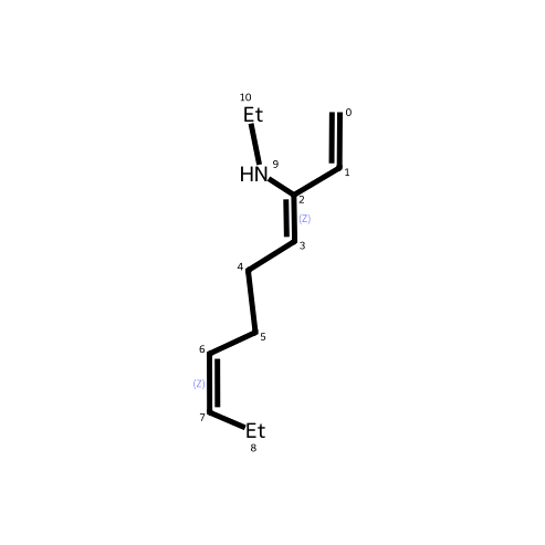 C=C/C(=C/CC/C=C\CC)NCC